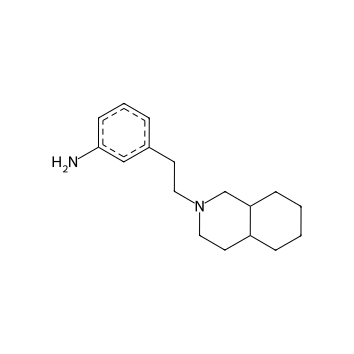 Nc1cccc(CCN2CCC3CCCCC3C2)c1